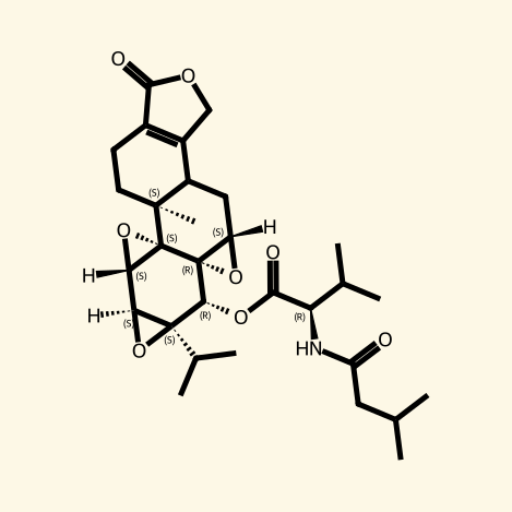 CC(C)CC(=O)N[C@@H](C(=O)O[C@@H]1[C@@]2(C(C)C)O[C@H]2[C@@H]2O[C@]23[C@]12O[C@H]2CC1C2=C(CC[C@@]13C)C(=O)OC2)C(C)C